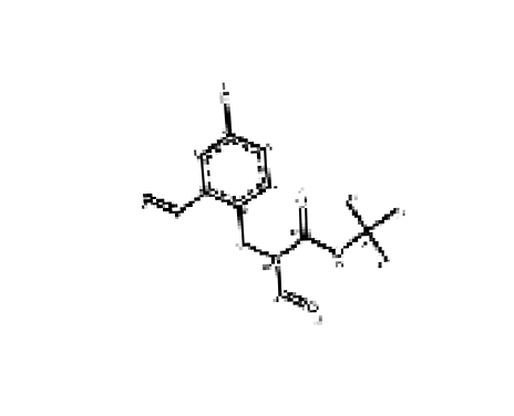 C=Cc1cc(F)ccc1CN(C=O)C(=O)OC(C)(C)C